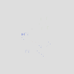 F[P-](F)(F)(F)(F)F.c1c[nH]c([P+](On2nnc3cccnc32)(c2ccc[nH]2)c2ccc[nH]2)c1